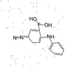 [N-]=[N+]=C1C=C(P(O)O)C(Nc2ccccc2)=CC1